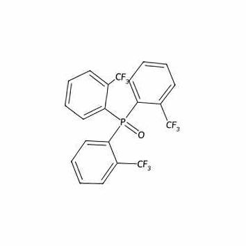 O=P(c1ccccc1C(F)(F)F)(c1ccccc1C(F)(F)F)c1ccccc1C(F)(F)F